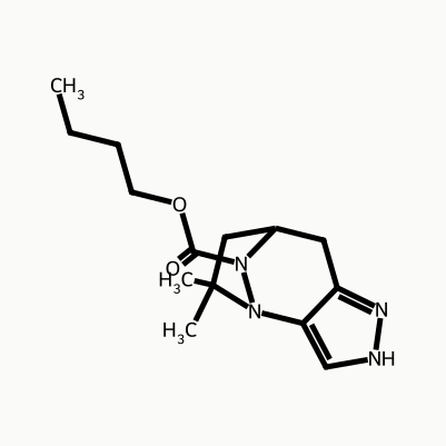 CCCCOC(=O)N1C2Cc3n[nH]cc3N1C(C)(C)C2